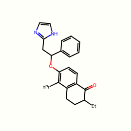 CCCc1c(OC(Cc2ncc[nH]2)c2ccccc2)ccc2c1CCC(CC)C2=O